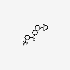 O=C(c1cccc(C(F)(F)F)c1)N1CCC2(CC1)CN(c1ncccn1)CCO2